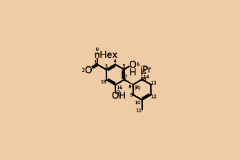 CCCCCCC(=O)c1cc(O)c([C@@H]2CC(C)=CC[C@H]2C(C)C)c(O)c1